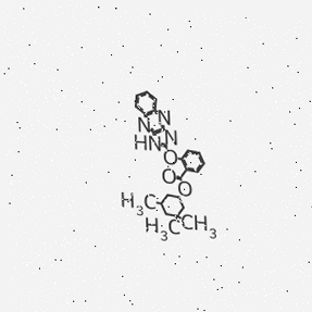 CC1CC(OC(=O)c2ccccc2Oc2nc3nc4ccccc4nc3[nH]2)CC(C)(C)C1